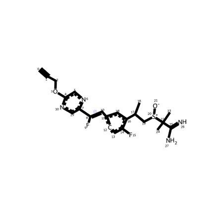 C#CCOc1cnc(/C(F)=C/c2ccc(F)c(C(C)C[S+]([O-])C(C)(C)C(=N)N)c2)cn1